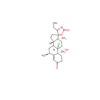 CCC(=O)O[C@]1(C(=O)COC(C)=O)CC[C@H]2[C@@H]3C[C@H](C)C4=CC(=O)CC[C@]4(C)[C@@]3(Cl)[C@@H](O)C[C@@]21C